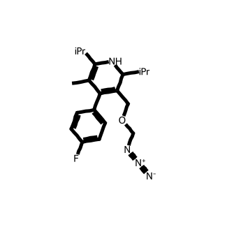 CC1=C(C(C)C)NC(C(C)C)C(COCN=[N+]=[N-])=C1c1ccc(F)cc1